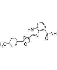 Cc1ccc(-c2nc(-c3nc4c(C(N)=O)cccc4[nH]3)co2)cc1